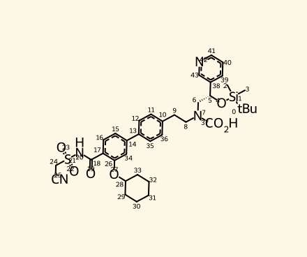 CC(C)(C)[Si](C)(C)O[C@H](CN(CCc1ccc(-c2ccc(C(=O)NS(=O)(=O)CC#N)c(OC3CCCCC3)c2)cc1)C(=O)O)c1cccnc1